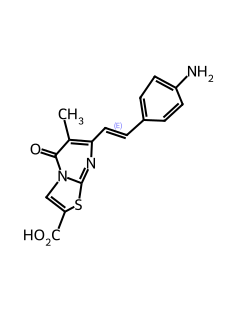 Cc1c(/C=C/c2ccc(N)cc2)nc2sc(C(=O)O)cn2c1=O